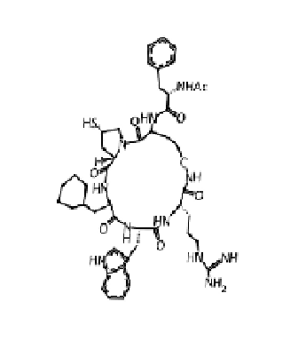 CC(=O)N[C@@H](Cc1ccccc1)C(=O)NC1CCCNC(=O)[C@H](CCCNC(=N)N)NC(=O)[C@H](Cc2c[nH]c3ccccc23)NC(=O)[C@@H](CC2CCCCC2)NC(=O)[C@@H]2C[C@H](S)CN2C1=O